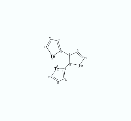 c1c[te]c(-c2cc[te]c2-c2ccc[te]2)c1